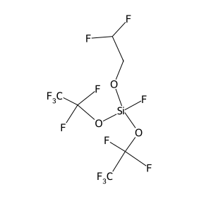 FC(F)CO[Si](F)(OC(F)(F)C(F)(F)F)OC(F)(F)C(F)(F)F